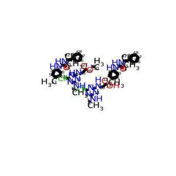 CCNc1nc(Cl)nc(NCC(=O)O)n1.CCNc1nc(Cl)nc(NCC(=O)OCC)n1.Cc1ccc(NC(=O)NC(C)(C)c2ccccc2)cc1.Cc1ccc(NC(=O)NC(C)(C)c2ccccc2)cc1